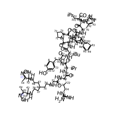 CCC(C)[C@H](NC(=O)[C@H](Cc1ccc(O)cc1)NC(=O)[C@@H](NC(=O)[C@H](CCCNC(=N)N)NC(=O)CNCCC(CCNC(C)(C)/C(C)=N\O)CCNC(C)(C)/C(C)=N\O)C(C)C)C(=O)N[C@@H](Cc1cnc[nH]1)C(=O)N1CCC[C@H]1C(=O)N[C@@H](CCc1ccccc1)C(=O)N[C@@H](Cc1cnc[nH]1)C(=O)N[C@@H](CC(C)C)C(=O)O